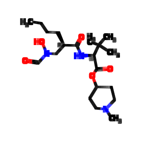 CCCC[C@H](CN(O)C=O)C(=O)N[C@H](C(=O)OC1CCN(C)CC1)C(C)(C)C